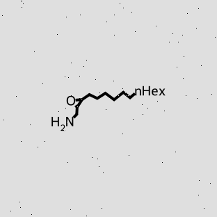 CCCCCCCCCCCCC1OC1CN